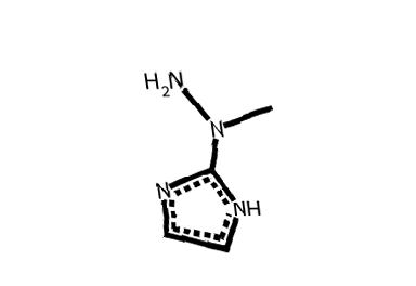 CN(N)c1ncc[nH]1